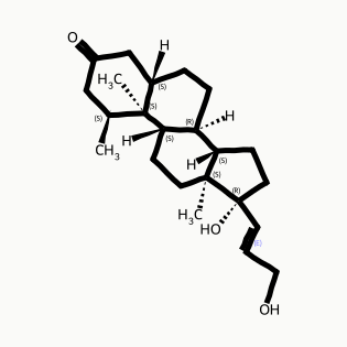 C[C@H]1CC(=O)C[C@@H]2CC[C@@H]3[C@H](CC[C@@]4(C)[C@H]3CC[C@@]4(O)/C=C/CO)[C@]21C